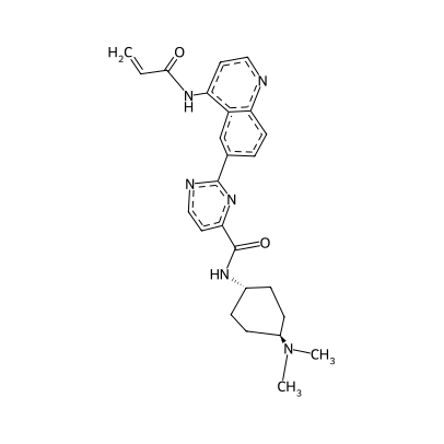 C=CC(=O)Nc1ccnc2ccc(-c3nccc(C(=O)N[C@H]4CC[C@H](N(C)C)CC4)n3)cc12